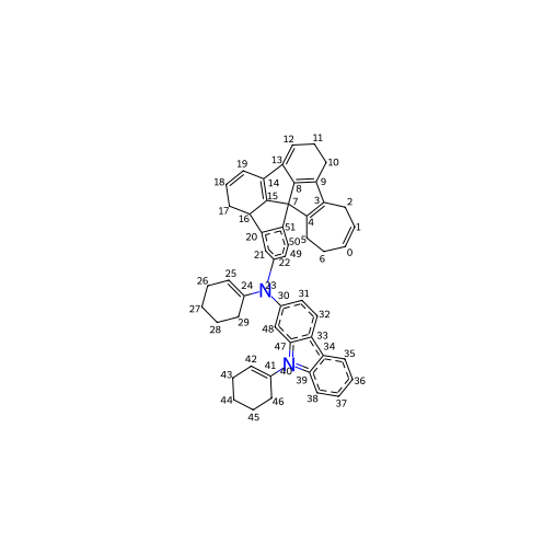 C1=CCC2=C(CC1)C13C4=C2CCC=C4C2=C1C(CC=C2)c1cc(N(C2=CCCCC2)c2ccc4c5ccccc5n(C5=CCCCC5)c4c2)ccc13